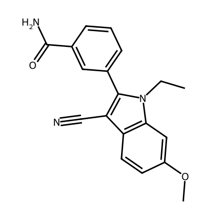 CCn1c(-c2cccc(C(N)=O)c2)c(C#N)c2ccc(OC)cc21